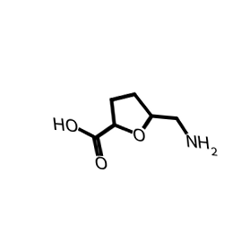 NCC1CCC(C(=O)O)O1